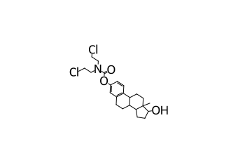 CC12CCC3c4ccc(OC(=O)N(CCCl)CCCl)cc4CCC3C1CCC2O